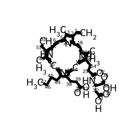 C=CC1=C(C)c2cc3[nH]c(cc4nc(cc5[nH]c(cc1n2)c(C)c5CCC(=O)N[C@@H](CC(=O)O)C(=O)O)C(CCC(=O)O)C4CCCC)c(C)c3C=C